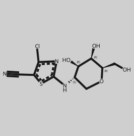 N#Cc1sc(N[C@H]2CO[C@H](CO)[C@H](O)[C@@H]2O)nc1Cl